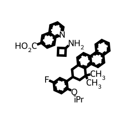 CC(C)Oc1ccc(F)cc1C1Cc2ccc3c(ccc4ccccc43)c2C(C)(C)C1.NC1CCC1.O=C(O)c1ccc2ncccc2c1